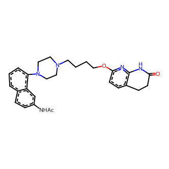 CC(=O)Nc1ccc2cccc(N3CCN(CCCCOc4ccc5c(n4)NC(=O)CC5)CC3)c2c1